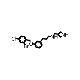 Clc1ccc(COc2cccc(CCCNCC3CNC3)c2)c(Br)c1